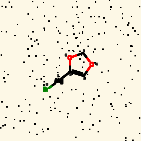 [Br][Mg][C]1=COCO1